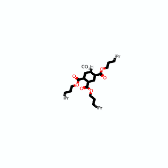 CC(C)CCCOC(=O)C1CC(C(=O)OCCCC(C)C)C(C(=O)OCCCC(C)C)CC1C(=O)O